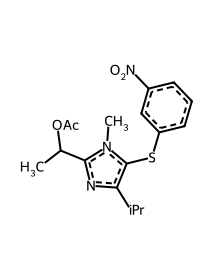 CC(=O)OC(C)c1nc(C(C)C)c(Sc2cccc([N+](=O)[O-])c2)n1C